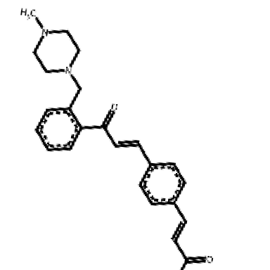 CN1CCN(Cc2ccccc2C(=O)C=Cc2ccc(C=CC(=O)O)cc2)CC1